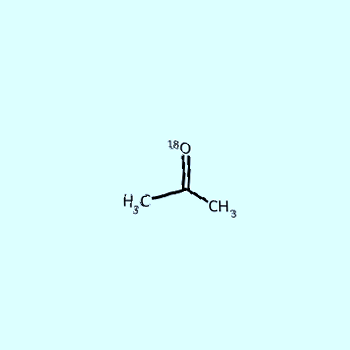 CC(C)=[18O]